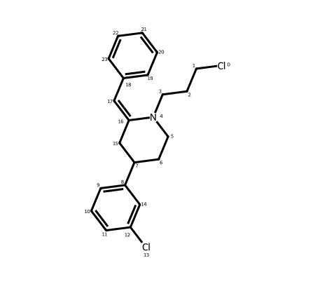 ClCCCN1CCC(c2cccc(Cl)c2)CC1=Cc1ccccc1